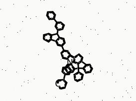 c1ccc(-c2ccc(-n3c4ccc(-c5ccc6c(c5)-c5ccccc5C6c5cccc(-c6ccccc6)c5)cc4c4ccc5c(c43)C(c3ccccc3)(c3ccccc3)c3ccccc3-5)cc2)cc1